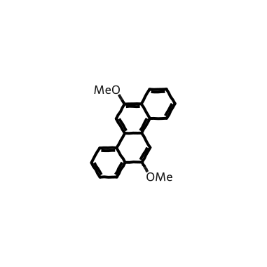 COc1cc2c3ccccc3c(OC)cc2c2ccccc12